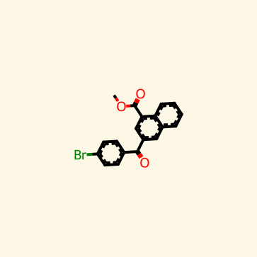 COC(=O)c1cc(C(=O)c2ccc(Br)cc2)cc2ccccc12